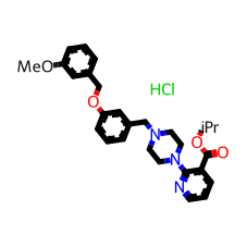 COc1cccc(COc2cccc(CN3CCN(c4ncccc4C(=O)OC(C)C)CC3)c2)c1.Cl